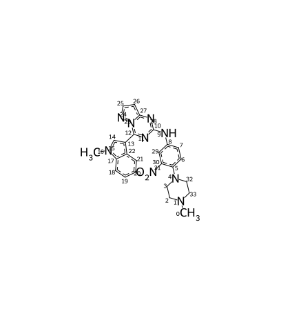 CN1CCN(c2ccc(Nc3nc(-c4cn(C)c5ccccc45)n4nccc4n3)cc2[N+](=O)[O-])CC1